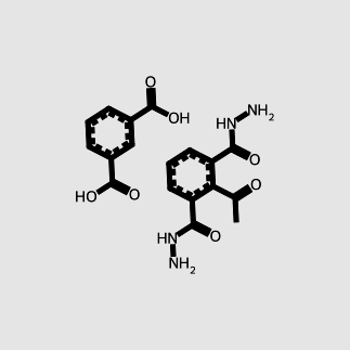 CC(=O)c1c(C(=O)NN)cccc1C(=O)NN.O=C(O)c1cccc(C(=O)O)c1